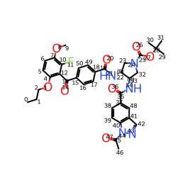 CCCOc1ccc(OC)c(F)c1C(=O)c1ccc(C(=O)N[C@@H]2CN(C(=O)OC(C)(C)C)C[C@H]2NC(=O)c2ccc3c(cnn3C(C)=O)c2)cc1